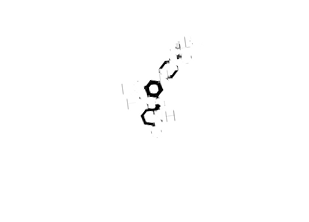 Cc1cc(N2CCN(C(=O)OC(C)(C)C)CC2)ccc1NC1CCC(=O)NC1=O